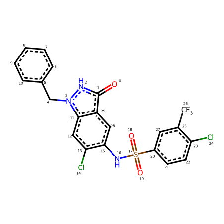 O=c1[nH]n(Cc2ccccc2)c2cc(Cl)c(NS(=O)(=O)c3ccc(Cl)c(C(F)(F)F)c3)cc12